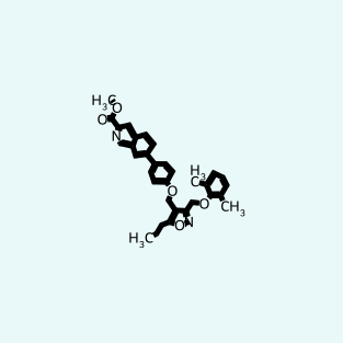 CCCc1onc(COc2c(C)cccc2C)c1COc1ccc(-c2ccc3cc(C(=O)OC)ncc3c2)cc1